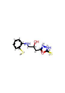 CSc1ccccc1NCC(O)Cc1n[nH]c(=S)o1